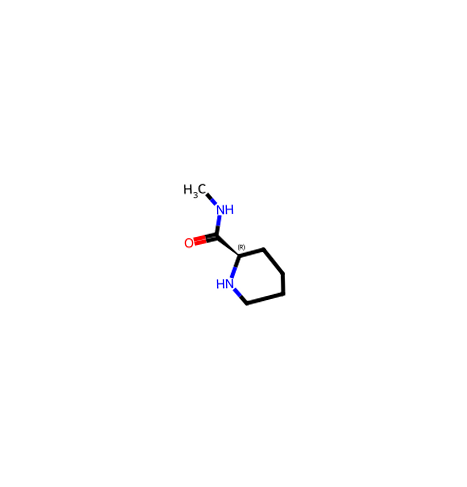 CNC(=O)[C@H]1CCCCN1